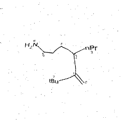 C=C(C(CCC)CCN)C(C)(C)C